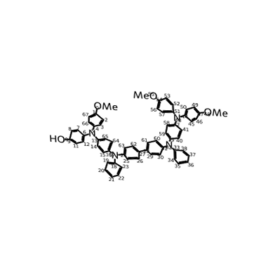 COc1ccc(N(c2ccc(O)cc2)c2ccc(N(c3ccccc3)c3ccc(-c4ccc(N(c5ccccc5)c5ccc(N(c6ccc(OC)cc6)c6ccc(OC)cc6)cc5)cc4)cc3)cc2)cc1